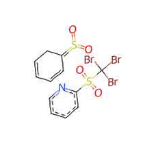 O=S(=O)(c1ccccn1)C(Br)(Br)Br.O=S(=O)=C1C=CC=CC1